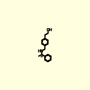 C[C@@H](NCc1ccc(CCO)cc1)c1ccccc1